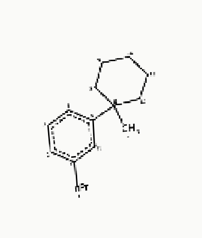 CCCc1cccc(C2(C)CCCCC2)c1